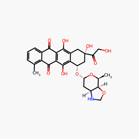 Cc1cccc2c1C(=O)c1c(O)c3c(c(O)c1C2=O)C[C@@](O)(C(=O)CO)C[C@@H]3O[C@H]1C[C@@H]2NCO[C@@H]2[C@H](C)O1